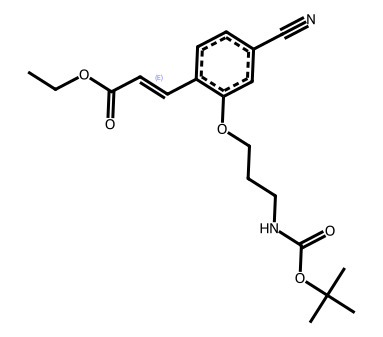 CCOC(=O)/C=C/c1ccc(C#N)cc1OCCCNC(=O)OC(C)(C)C